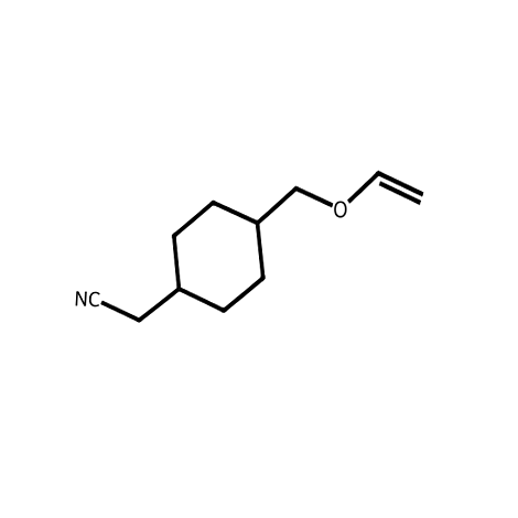 C=COCC1CCC(CC#N)CC1